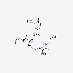 C\C=C/N=C(C)/C(=C\C=C(/C)C1=CC(O)NC=C1)N=C=C/C=C(\CCC)C(C)NCCO